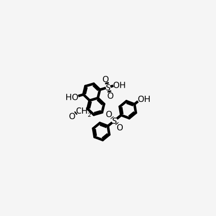 C=O.O=S(=O)(O)c1ccc(O)c2ccccc12.O=S(=O)(c1ccccc1)c1ccc(O)cc1